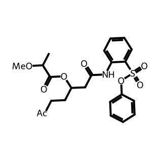 COC(C)C(=O)OC(CCC(C)=O)CC(=O)Nc1ccccc1S(=O)(=O)Oc1ccccc1